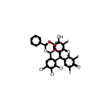 O=C(OC(C=CCl)c1cc(Cl)c(Cl)c(Cl)c1-c1c2cc(I)c(=O)c(I)c-2oc2c(I)c(O)c(I)cc12)c1ccccc1